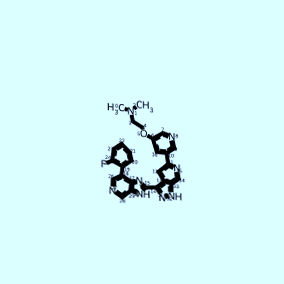 CN(C)CCOc1cncc(-c2cc3c(-c4nc5c(-c6ccccc6F)cncc5[nH]4)n[nH]c3cn2)c1